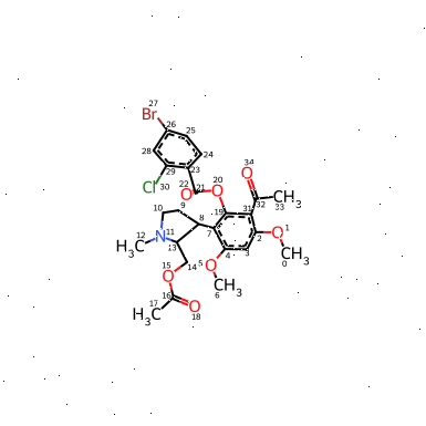 COc1cc(OC)c(C2CCN(C)C2COC(C)=O)c(OC(=O)c2ccc(Br)cc2Cl)c1C(C)=O